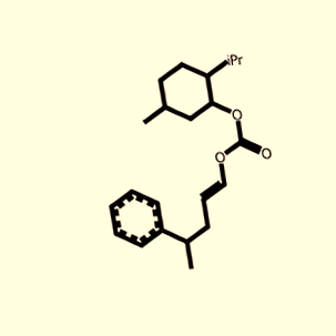 CC1CCC(C(C)C)C(OC(=O)OC=CCC(C)c2ccccc2)C1